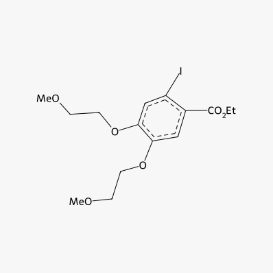 CCOC(=O)c1cc(OCCOC)c(OCCOC)cc1I